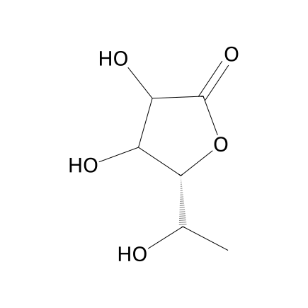 CC(O)[C@H]1OC(=O)C(O)C1O